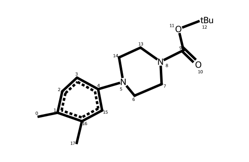 Cc1ccc(N2CCN(C(=O)OC(C)(C)C)CC2)cc1C